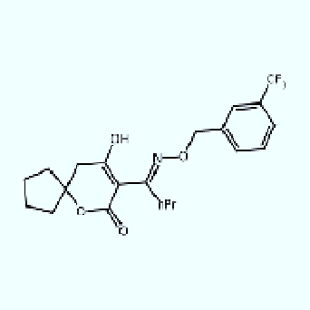 CCCC(=NOCc1cccc(C(F)(F)F)c1)C1=C(O)CC2(CCCC2)OC1=O